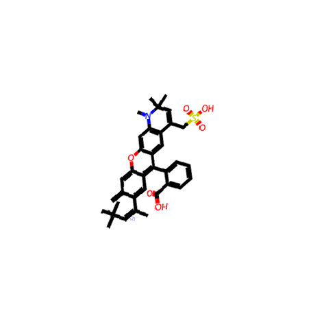 C=c1cc2c(cc1/C(C)=C\C(C)(C)C)=C(c1ccccc1C(=O)O)c1cc3c(cc1O2)N(C)C(C)(C)C=C3CS(=O)(=O)O